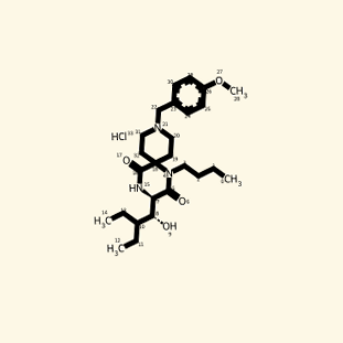 CCCCN1C(=O)[C@@H]([C@H](O)C(CC)CC)NC(=O)C12CCN(Cc1ccc(OC)cc1)CC2.Cl